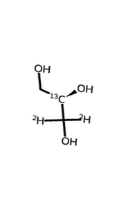 [2H]C([2H])(O)[13C@H](O)CO